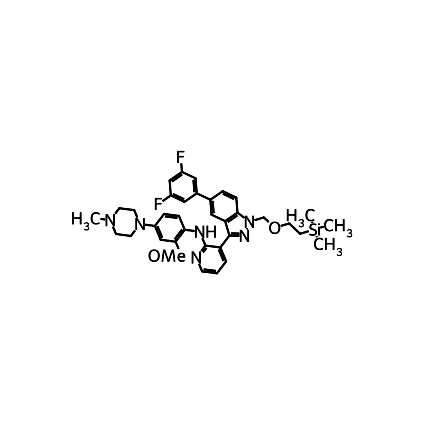 COc1cc(N2CCN(C)CC2)ccc1Nc1ncccc1-c1nn(COCC[Si](C)(C)C)c2ccc(-c3cc(F)cc(F)c3)cc12